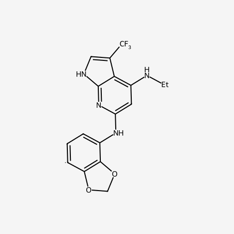 CCNc1cc(Nc2cc[c]c3c2OCO3)nc2[nH]cc(C(F)(F)F)c12